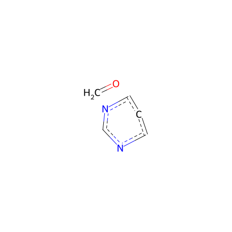 C=O.c1cncnc1